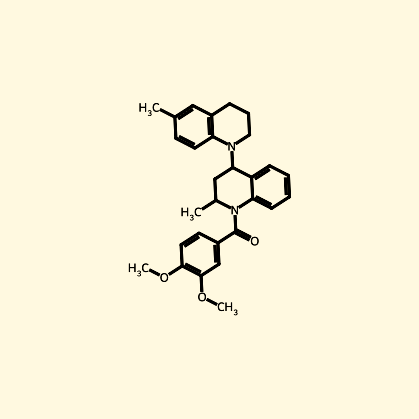 COc1ccc(C(=O)N2c3ccccc3C(N3CCCc4cc(C)ccc43)CC2C)cc1OC